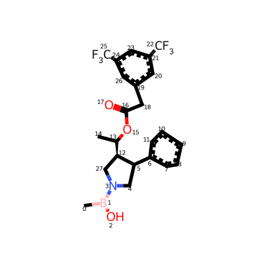 CB(O)N1CC(c2ccccc2)[C@H](C(C)OC(=O)Cc2cc(C(F)(F)F)cc(C(F)(F)F)c2)C1